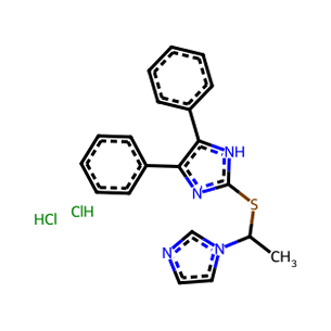 CC(Sc1nc(-c2ccccc2)c(-c2ccccc2)[nH]1)n1ccnc1.Cl.Cl